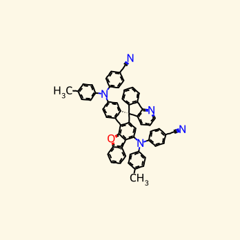 Cc1ccc(N(c2ccc(C#N)cc2)c2ccc3c(c2)[C@@]2(c4ccccc4-c4ncccc42)c2cc(N(c4ccc(C)cc4)c4ccc(C#N)cc4)c4c(oc5ccccc54)c2-3)cc1